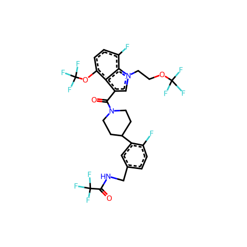 O=C(c1cn(CCOC(F)(F)F)c2c(F)ccc(OC(F)(F)F)c12)N1CCC(c2cc(CNC(=O)C(F)(F)F)ccc2F)CC1